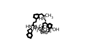 C[C@H](Cc1cccc(CCC(=O)NC2Cc3ccccc3C2)c1)NC[C@H](CC(C)(C)[Si](C)(C)O)c1ccc(O)c(CO)c1